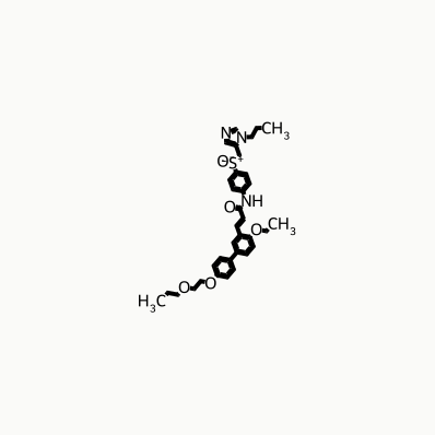 CCCOCCOc1ccc(-c2ccc(OCC)c(/C=C/C(=O)Nc3ccc([S@+]([O-])Cc4cncn4CCC)cc3)c2)cc1